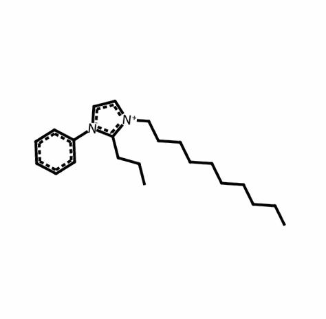 CCCCCCCCCC[n+]1ccn(-c2ccccc2)c1CCC